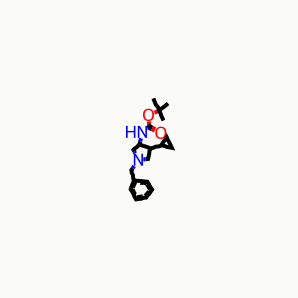 CC(C)(C)OC(=O)NC1CN(Cc2ccccc2)CC1C1CC1